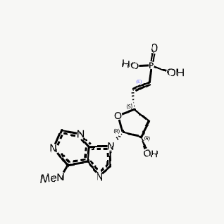 CNc1ncnc2c1ncn2[C@@H]1O[C@H](/C=C/P(=O)(O)O)C[C@H]1O